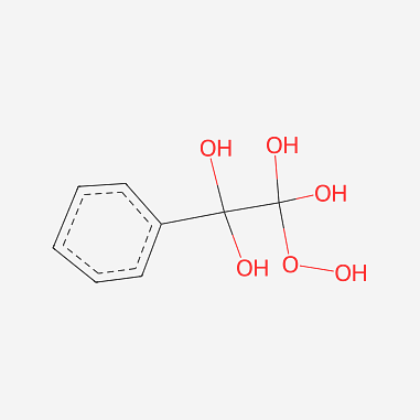 OOC(O)(O)C(O)(O)c1ccccc1